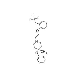 CC1(Oc2ccccc2)CCN(CCOc2ccccc2CC(F)(F)F)CC1